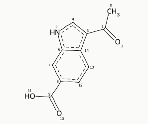 CC(=O)c1c[nH]c2cc(C(=O)O)ccc12